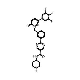 O=C(NC1CCNCC1)c1cnc(-c2cccc(Cn3nc(-c4cc(F)c(F)c(F)c4)ccc3=O)c2)nc1